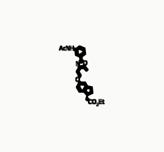 CCOC(=O)C[C@@H]1CCc2cc(OCCc3nc(-c4cccc(NC(C)=O)c4)oc3C)ccc21